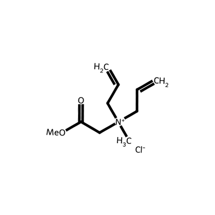 C=CC[N+](C)(CC=C)CC(=O)OC.[Cl-]